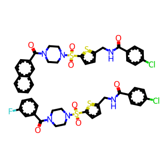 O=C(NCc1ccc(S(=O)(=O)N2CCN(C(=O)c3ccc4ccccc4c3)CC2)s1)c1ccc(Cl)cc1.O=C(NCc1ccc(S(=O)(=O)N2CCN(C(=O)c3cccc(F)c3)CC2)s1)c1ccc(Cl)cc1